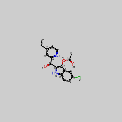 CCc1ccnc(C(=O)c2[nH]c3ccc(Cl)cc3c2OC(C)=O)c1